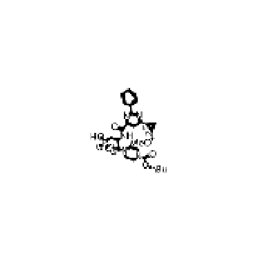 CCCCOC(=O)N1CCN(C(=O)C(CP(=O)(O)O)NC(=O)c2cc([C@H]3C[C@@H]3COC)nc(-c3ccccc3)n2)CC1